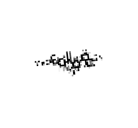 COC(=O)Cc1ccc2c(c1)NC(=O)c1ccc(-c3cccc4c(C#N)nccc34)cc1N2